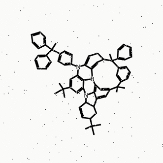 CC(C)(C)c1cc2c3c(c1)N1c4c5cc(cc4C4CC(C(C)(C)C)C=CC41)C(C)(C)c1cccc(c1)C(C)(c1ccccc1)C1C=C(B53)C(=CC1)N2c1ccc(C(C)(c2ccccc2)c2ccccc2)cc1